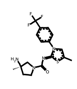 Cc1cn(-c2ccc(C(F)(F)F)cc2)/c(=N/C(=O)N2CC[C@@](C)(N)C2)s1